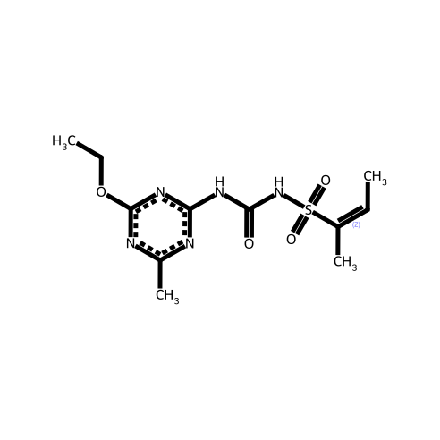 C/C=C(/C)S(=O)(=O)NC(=O)Nc1nc(C)nc(OCC)n1